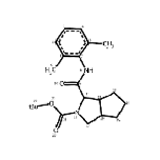 Cc1cccc(C)c1NC(=O)C1C2CCCC2CN1C(=O)OC(C)(C)C